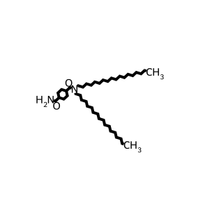 CCCCCCCCCCCCCCCCCCN(CCCCCCCCCCCCCCCCCC)C(=O)C1CCC(C(N)=O)CC1